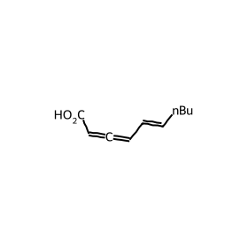 CCCCC=CC=C=CC(=O)O